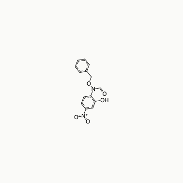 O=CN(OCc1ccccc1)c1ccc([N+](=O)[O-])cc1O